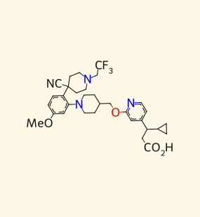 COc1ccc(C2(C#N)CCN(CC(F)(F)F)CC2)c(N2CCC(COc3cc(C(CC(=O)O)C4CC4)ccn3)CC2)c1